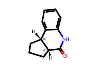 O=C1Nc2ccccc2[C@H]2CCC[C@@H]12